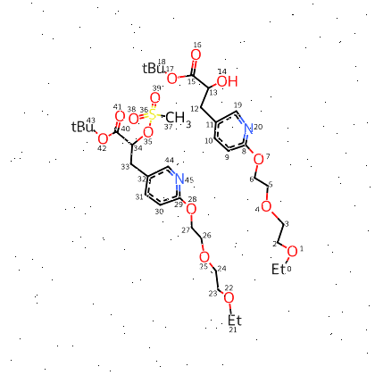 CCOCCOCCOc1ccc(CC(O)C(=O)OC(C)(C)C)cn1.CCOCCOCCOc1ccc(CC(OS(C)(=O)=O)C(=O)OC(C)(C)C)cn1